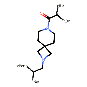 CCCCCCC(CCCCC)CN1CC2(CCN(C(=O)C(CCCC)CCCC)CC2)C1